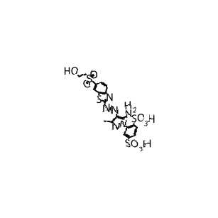 Cc1nn(-c2cc(S(=O)(=O)O)ccc2S(=O)(=O)O)c(N)c1/N=N/c1nc2ccc(S(=O)(=O)CCO)cc2s1